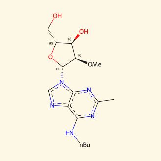 CCCCNc1nc(C)nc2c1ncn2[C@@H]1O[C@H](CO)[C@@H](O)[C@H]1OC